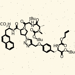 C=CCOC(=O)N[C@@H](Cc1ccc(OCc2cn([C@H]3C[C@@H](C(=O)N[C@@H](Cc4ccc5ccccc5c4)C(=O)O)N(C(=O)[C@@H](NC(=O)[C@H](C)N(C)C(=O)OC(C)(C)C)C(C)(C)C)C3)nn2)cc1)C(=O)OC(C)(C)C